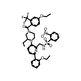 CCOc1ccc(C(=O)N2CCN(c3ccc(-c4ccccc4OCC)nc3CNS(=O)(=O)c3ccccc3[N+](=O)[O-])C(CC)C2)c(C(F)(F)F)c1